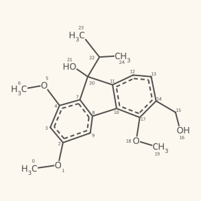 COc1cc(OC)c2c(c1)-c1c(ccc(CO)c1OC)C2(O)C(C)C